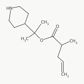 C=CCC(C)C(=O)OC(C)(C)C1CCNCC1